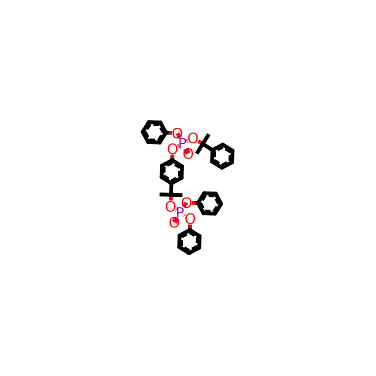 CC(C)(OP(=O)(Oc1ccccc1)Oc1ccc(C(C)(C)OP(=O)(Oc2ccccc2)Oc2ccccc2)cc1)c1ccccc1